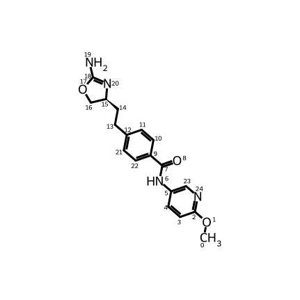 COc1ccc(NC(=O)c2ccc(CC[C@H]3COC(N)=N3)cc2)cn1